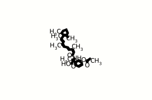 CCC(=O)Oc1cccc(C(C)(NC(=O)C=C(C)C=CC=C(C)C=CC2=C(C)CCCC2(C)C)C(=O)O)c1